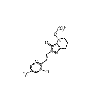 O=C(O)O[C@H]1CCCc2nn(CCc3ncc(C(F)(F)F)cc3Cl)c(=O)n21